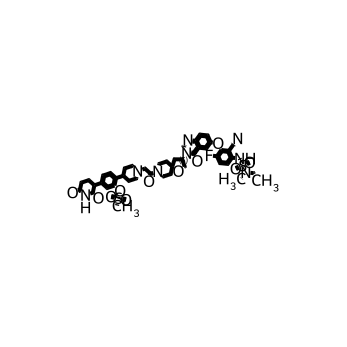 CCN(C)S(=O)(=O)Nc1ccc(F)c(Oc2ccc3ncn([C@@H]4COC5(CCN(C(=O)CN6CCC(c7ccc(C8CCC(=O)NC8=O)cc7OS(C)(=O)=O)CC6)CC5)C4)c(=O)c3c2)c1C#N